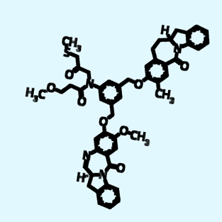 COCCC(=O)N(CC(=O)CSC)c1cc(COc2cc3c(cc2C)C(=O)N2c4ccccc4C[C@H]2CC3)cc(COc2cc3c(cc2OC)C(=O)N2c4ccccc4C[C@H]2C=N3)c1